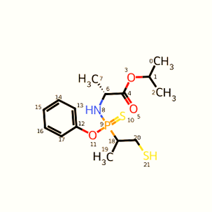 CC(C)OC(=O)[C@@H](C)NP(=S)(Oc1ccccc1)C(C)CS